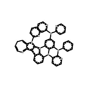 C1=CN=c2c(n(-c3ccccn3)c3c2c2cccc4c2n3-c2cc(N(c3ccccn3)c3ccccn3)cc3c2B4c2cccnc2N3c2ccccc2)=CC1